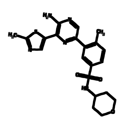 Cc1ncc(-c2nc(-c3cc(S(=O)(=O)NC4CCOCC4)ccc3C)cnc2N)s1